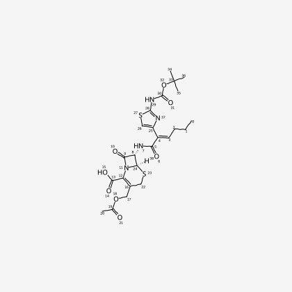 CCCC=C(C(=O)N[C@H]1C(=O)N2C(C(=O)O)=C(COC(C)=O)CS[C@H]12)c1csc(NC(=O)OC(C)(C)C)n1